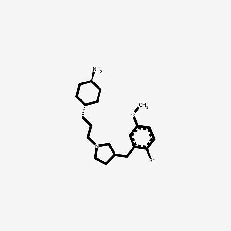 COc1ccc(Br)c(CC2CCN(CCC[C@H]3CC[C@H](N)CC3)C2)c1